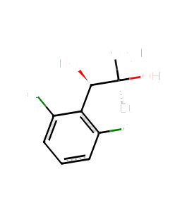 CC[C@@](O)(C(=O)O)[C@H](O)c1c(Cl)cccc1Cl